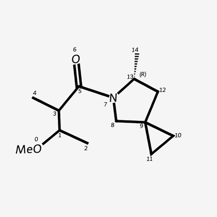 COC(C)C(C)C(=O)N1CC2(CC2)C[C@H]1C